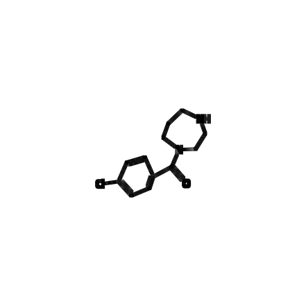 O=C(c1ccc(Cl)cc1)N1CCCNCC1